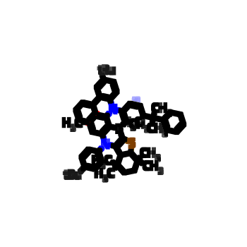 CC1=C(/C=C\C(C)C(C)(C)C2=CC=CCC2)N(c2ccc(C(C)(C)C)cc2-c2ccccc2)c2cc(C)cc3c2B1C1=C(C2C(S1)C(C)(C)CCC2(C)C)N3c1ccc(C(C)(C)C)cc1